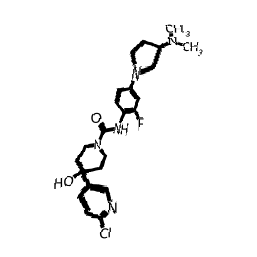 CN(C)C1CCN(c2ccc(NC(=O)N3CCC(O)(c4ccc(Cl)nc4)CC3)c(F)c2)C1